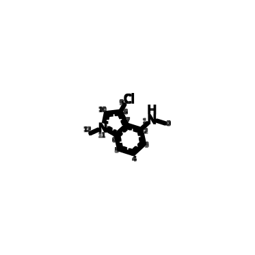 CNc1cccc2c1c(Cl)cn2C